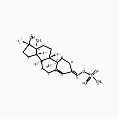 C[C@]1(O)CC[C@H]2[C@@H]3CCC4=C/C(=N/OS(C)(=O)=O)CC[C@@H]4[C@H]3CC[C@@]21C